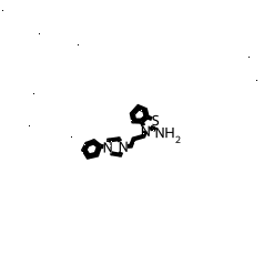 NC1Sc2ccccc2N1CCCN1CCN(c2ccccc2)CC1